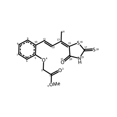 COC(=O)COc1ccccc1/C=C/C(C)=C1/SC(=S)NC1=O